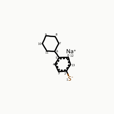 [Na+].[S-]c1ccc(C2CCCCC2)cc1